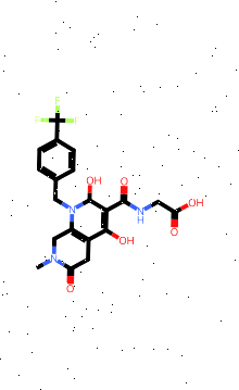 CN1CC2=C(CC1=O)C(O)=C(C(=O)NCC(=O)O)C(O)N2Cc1ccc(C(F)(F)F)cc1